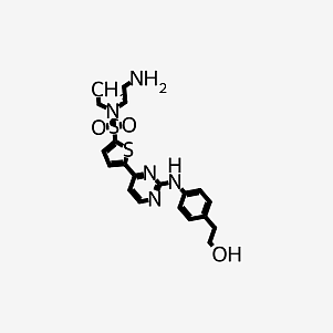 CCN(CCN)S(=O)(=O)c1ccc(-c2ccnc(Nc3ccc(CCO)cc3)n2)s1